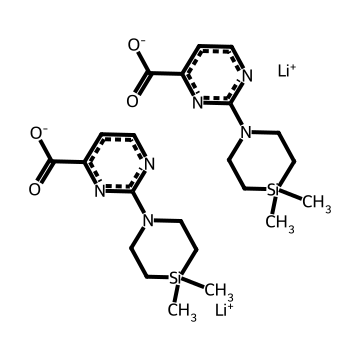 C[Si]1(C)CCN(c2nccc(C(=O)[O-])n2)CC1.C[Si]1(C)CCN(c2nccc(C(=O)[O-])n2)CC1.[Li+].[Li+]